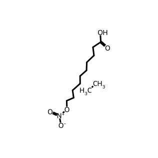 CC.O=C(O)CCCCCCCCCO[N+](=O)[O-]